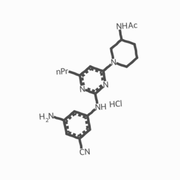 CCCc1cc(N2CCCC(NC(C)=O)C2)nc(Nc2cc(N)cc(C#N)c2)n1.Cl